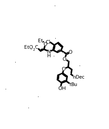 CCCCCCCCCCCCC(COC(=O)c1ccc(Cl)c(N/C(=C/C(=O)OCC)OCC)c1)Oc1ccc(O)c(C(C)(C)C)c1